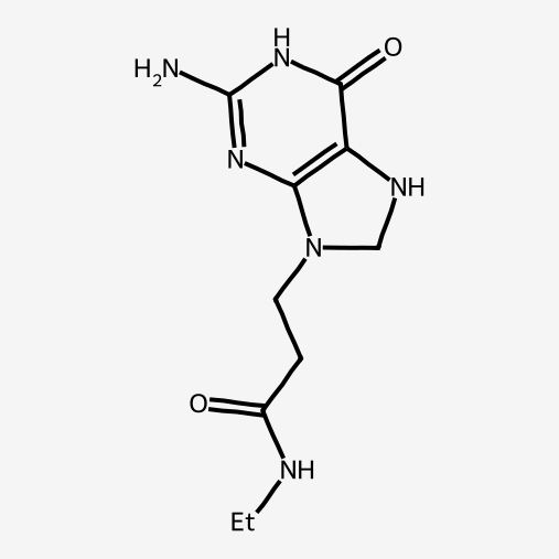 CCNC(=O)CCN1CNc2c1nc(N)[nH]c2=O